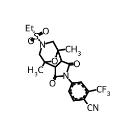 CCS(=O)(=O)N1CC2(C)OC(C)(C1)C1C(=O)N(c3ccc(C#N)c(C(F)(F)F)c3)C(=O)C12